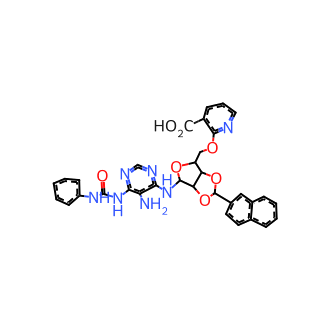 Nc1c(NC(=O)Nc2ccccc2)ncnc1NC1OC(COc2ncccc2C(=O)O)C2OC(c3ccc4ccccc4c3)OC12